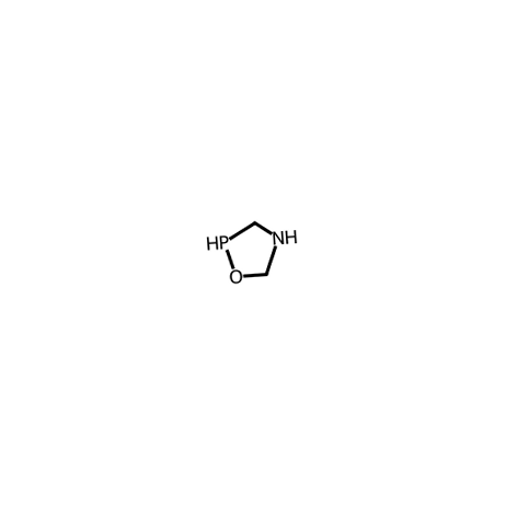 C1NCPO1